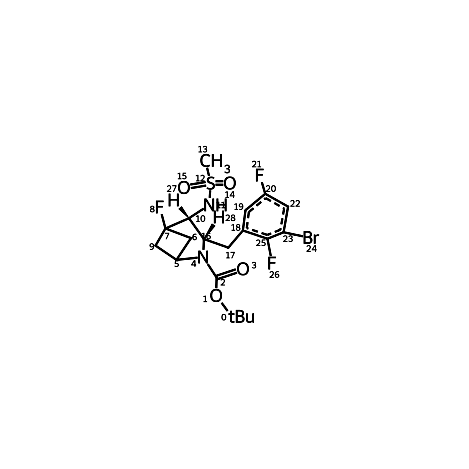 CC(C)(C)OC(=O)N1C2CC(F)(C2)[C@H](NS(C)(=O)=O)[C@@H]1Cc1cc(F)cc(Br)c1F